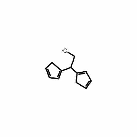 [O]C[C](C1=CC=CC1)C1=CC=CC1